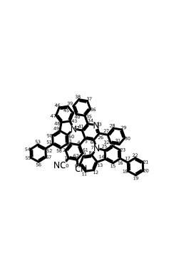 N#Cc1ccc(-c2c(-n3c4ccccc4c4cc(-c5ccccc5)ccc43)c(-c3ccccc3)nc(-c3ccccc3)c2-n2c3ccccc3c3cc(-c4ccccc4)ccc32)cc1C#N